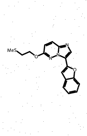 CSCCOc1ccc2ncc(-c3cc4ccccc4o3)n2n1